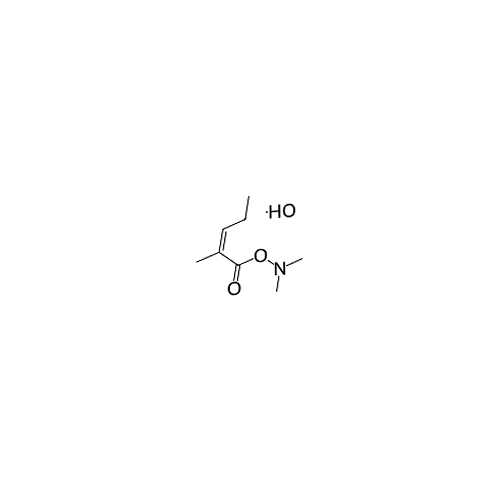 CCC=C(C)C(=O)ON(C)C.[OH]